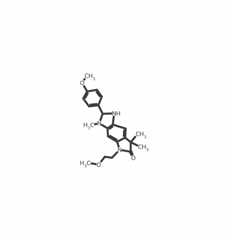 COCCN1C(=O)C(C)(C)c2cc3c(cc21)N(C)C(c1ccc(OC)cc1)N3